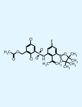 C=C(C)c1c(NS(=O)(=O)c2cc(Cl)cc(COC(C)=O)c2Cl)cc(F)cc1B1OC(C)(C)C(C)(C)O1